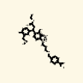 CCOC(=O)CC(c1ccc(C)c(CNC)c1)c1ccc2c(nnn2CCCOCc2ccc(C(=O)O)cc2)c1C